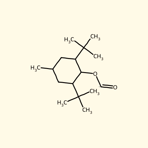 CC1CC(C(C)(C)C)C(O[C]=O)C(C(C)(C)C)C1